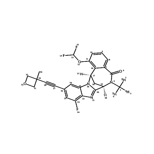 [2H]C([2H])([2H])N1C(=O)c2cccc(OC(F)F)c2[C@H]2C[C@@H]1c1nc3c(F)cc(C#CC4(C)COC4)cc3n12